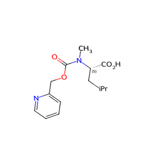 CC(C)C[C@@H](C(=O)O)N(C)C(=O)OCc1ccccn1